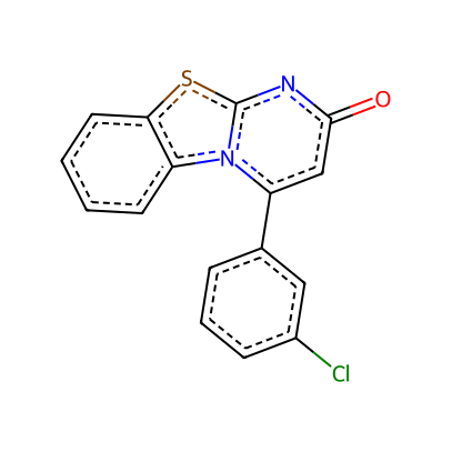 O=c1cc(-c2cccc(Cl)c2)n2c(n1)sc1ccccc12